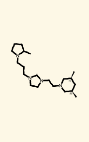 CC1CCCN1CCCN1[C]N(CCN2C[C@H](C)C[C@H](C)C2)CC1